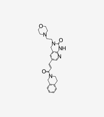 O=C(/C=C/c1cnc2c(c1)CN(CCN1CCOCC1)C(=O)N2)N1CCc2ccccc2C1